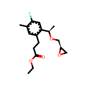 CCOC(=O)CCc1cc(C)c(F)cc1[C@@H](C)OC[C@H]1CO1